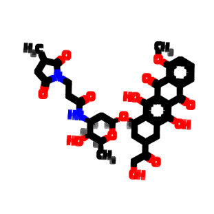 COc1cccc2c1C(=O)c1c(O)c3c(c(O)c1C2=O)CC(C(=O)CO)C[C@@H]3O[C@H]1C[C@H](NC(=O)CCN2C(=O)CC(C)C2=O)[C@H](O)[C@H](C)O1